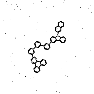 c1cc(-c2cccc(-c3ccc4c(c3)c3ccccc3n4-c3ccc4ccccc4c3)c2)cc(-c2cccc(-c3cnc4c5ccccc5c5ccccc5c4n3)c2)c1